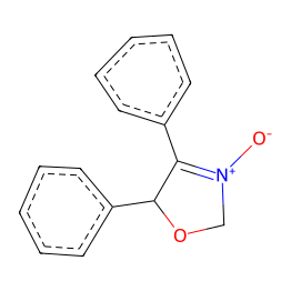 [O-][N+]1=C(c2ccccc2)C(c2ccccc2)OC1